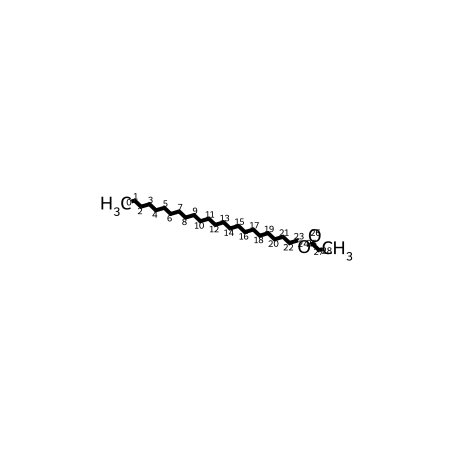 CCCCCCCCCCCCCCCCCCCCCCCCOC(=O)CC